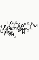 Cc1ccc(S(=O)(=O)NC2CCC(CO)CC2)cc1B1OC(C)(C)C(C)(C)O1